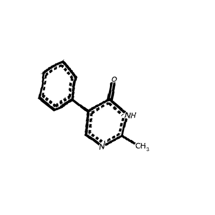 Cc1ncc(-c2c[c][c]cc2)c(=O)[nH]1